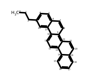 CCCc1ccc2ccc3c(ccc4c5ccccc5ccc43)c2c1